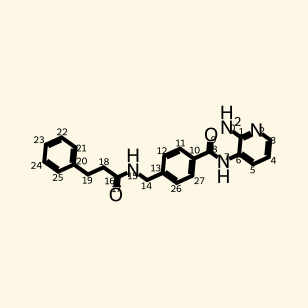 Nc1ncccc1NC(=O)c1ccc(CNC(=O)CCc2ccccc2)cc1